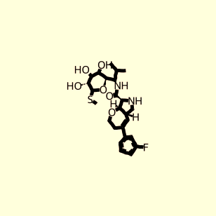 CSC1O[C@H]([C@H](NC(=O)[C@H]2NC[C@@H]3C=C(c4cccc(F)c4)CCO[C@@H]23)C(C)C)C(O)C(O)[C@H]1O